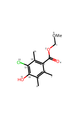 COCOC(=O)c1c(C)c(C)c(O)c(Cl)c1C